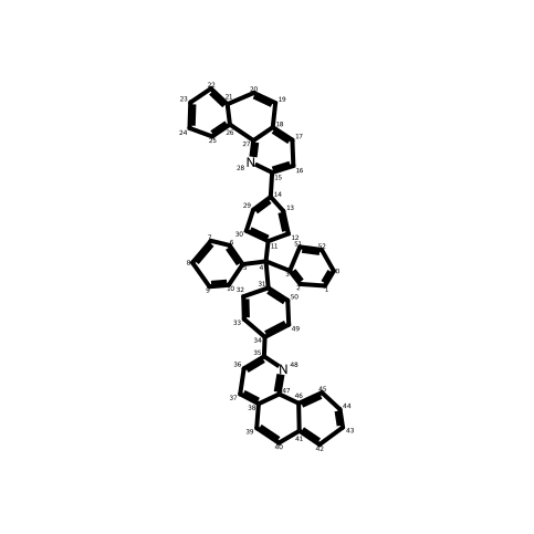 c1ccc(C(c2ccccc2)(c2ccc(-c3ccc4ccc5ccccc5c4n3)cc2)c2ccc(-c3ccc4ccc5ccccc5c4n3)cc2)cc1